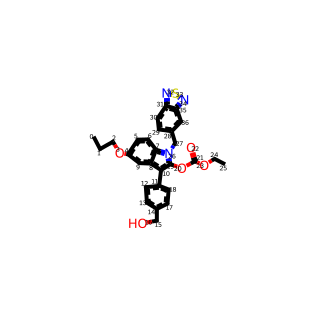 CCCOc1ccc2c(c1)c(-c1ccc(CO)cc1)c(OC(=O)OCC)n2Cc1ccc2nsnc2c1